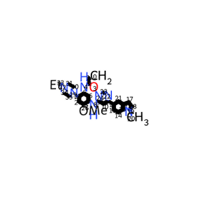 C=CC(=O)Nc1cc(Nc2cc(-c3ccc4c(ccn4C)c3)ncn2)c(OC)cc1N1CCN(CC)CC1